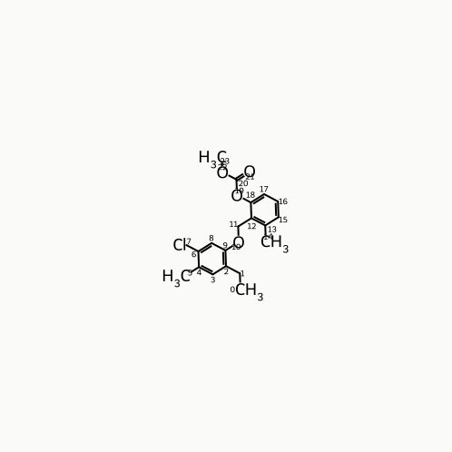 CCc1cc(C)c(Cl)cc1OCc1c(C)cccc1OC(=O)OC